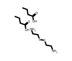 CCCC(=O)O.CCCC(=O)O.NCCSSCCN